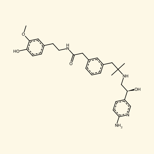 COc1cc(CCNC(=O)Cc2cccc(CC(C)(C)NC[C@@H](O)c3ccc(N)nc3)c2)ccc1O